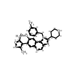 COc1cc2c(cc1-c1c(C)noc1C)ncc1nc(C3CCOCC3)n(Cc3cccc(C(F)(F)F)c3)c12